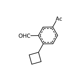 CC(=O)c1ccc(C2CCC2)c(C=O)c1